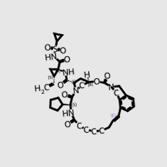 C=C[C@@H]1C[C@]1(NC(=O)[C@@H]1C[C@@H]2CN1C(=O)[C@H](C1CCCC1)NC(=O)CCCCC/C=C/c1cccc3c1CN(C3)C(=O)O2)C(=O)NS(=O)(=O)C1CC1